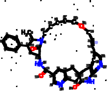 CC1C(c2ccccc2)CC2NC(=O)c3cnc4c(c3)C[C@@]3(C4)C(=O)Nc4ncc(cc43)/C=C/COCCCCCN1C2=O